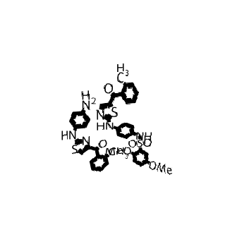 COc1ccc(OC)c(S(=O)(=O)Nc2ccc(Nc3ncc(C(=O)c4ccccc4C)s3)cc2)c1.Cc1ccccc1C(=O)c1csc(Nc2ccc(N)cc2)n1